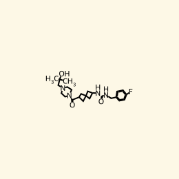 CC(C)(O)CN1CCN(C(=O)C2CC3(CC(NC(=O)NCc4ccc(F)cc4)C3)C2)CC1